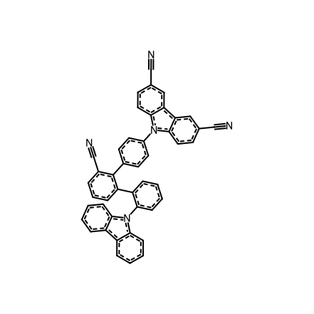 N#Cc1ccc2c(c1)c1cc(C#N)ccc1n2-c1ccc(-c2c(C#N)cccc2-c2ccccc2-n2c3ccccc3c3ccccc32)cc1